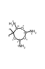 CC1(C)OB(N)OB(N)OB1N